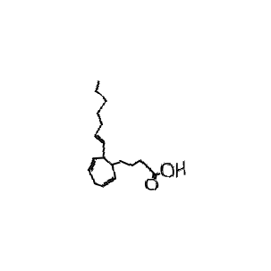 CCCCC/C=C/C1C=CCC=CC1CCCC(=O)O